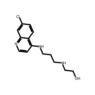 OCCNCCCNc1ccnc2cc(Cl)ccc12